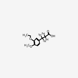 [2H]C([2H])(C(=O)O)C([2H])([2H])c1ccc(OC)c(OCC)c1